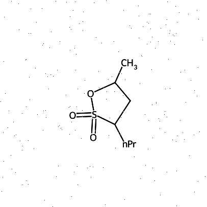 CCCC1CC(C)OS1(=O)=O